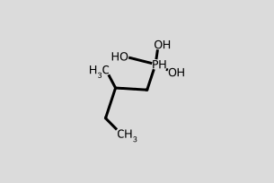 CCC(C)C[PH](O)(O)O